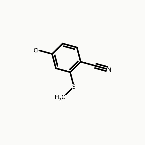 CSc1cc(Cl)ccc1C#N